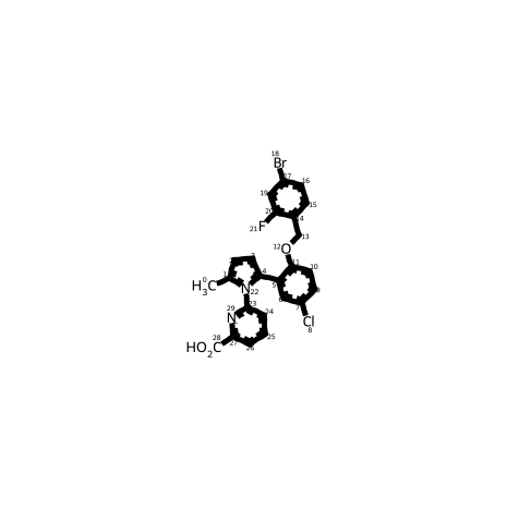 Cc1ccc(-c2cc(Cl)ccc2OCc2ccc(Br)cc2F)n1-c1cccc(C(=O)O)n1